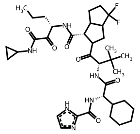 CCC[C@H](NC(=O)[C@H]1C(C(=O)[C@@H](NC(=O)[C@@H](NC(=O)c2ncc[nH]2)C2CCCCC2)C(C)(C)C)CC2C1CCC2(F)F)C(=O)C(=O)NC1CC1